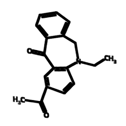 CCN1Cc2ccccc2C(=O)c2cc(C(C)=O)ccc21